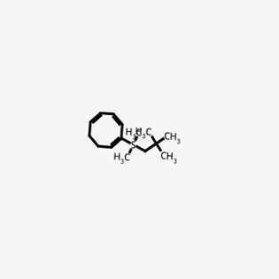 CC(C)(C)CS(C)(C)C1=C/CCC=C/C=C\1